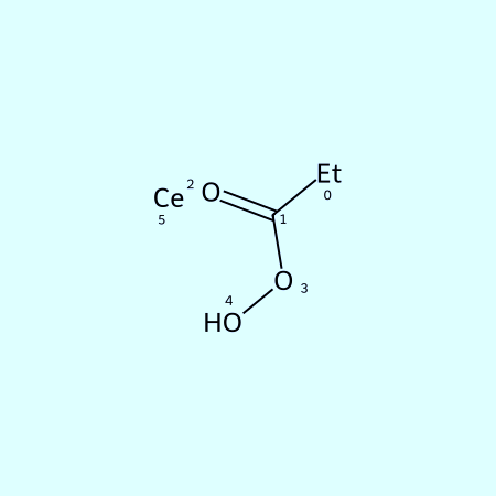 CCC(=O)OO.[Ce]